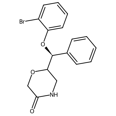 O=C1COC([C@@H](Oc2ccccc2Br)c2ccccc2)CN1